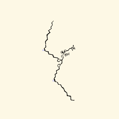 CCCCCCCCCCC/C=C\CCCCCOCC(COP(=O)(O)OCC[N+](C)(C)C)OCCCCC/C=C\CCCCCCCCCCC